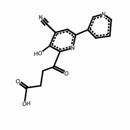 N#Cc1cc(-c2cccnc2)nc(C(=O)CCC(=O)O)c1O